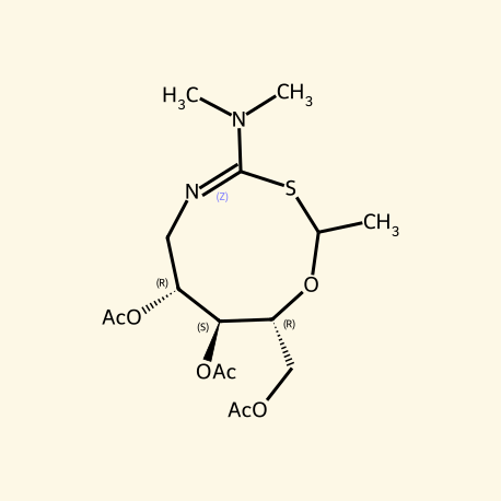 CC(=O)OC[C@H]1OC(C)S/C(N(C)C)=N\C[C@@H](OC(C)=O)[C@@H]1OC(C)=O